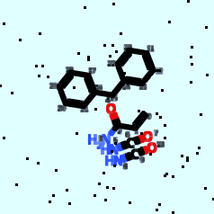 C=CC(N)=O.N=C=O.N=C=O.c1ccc(Cc2ccccc2)cc1